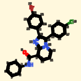 O=C(Nc1ccccc1)c1cccn2c(-c3ccc(Cl)cc3)c(-c3ccc(Br)cc3)nc12